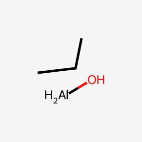 CCC.[OH][AlH2]